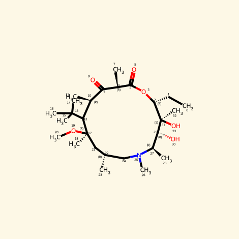 CC[C@H]1OC(=O)[C@H](C)C(=O)[C@H](C)C(C(C)(C)C)[C@](C)(OC)C[C@@H](C)CN(C)[C@H](C)[C@@H](O)[C@]1(C)O